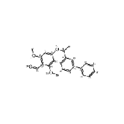 COc1cc(OC(C)c2cccc(-c3ccccc3)c2)cc(OC)c1C=O